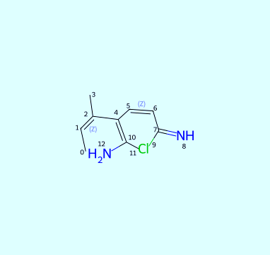 C/C=C(/C)C(/C=C\C(=N)Cl)=C(C)N